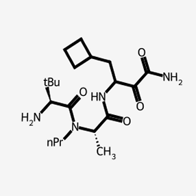 CCCN(C(=O)[C@@H](N)C(C)(C)C)[C@@H](C)C(=O)NC(CC1CCC1)C(=O)C(N)=O